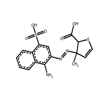 CC1(/N=N/c2cc(S(=O)(=O)O)c3ccccc3c2N)C=CSC1C(=O)O